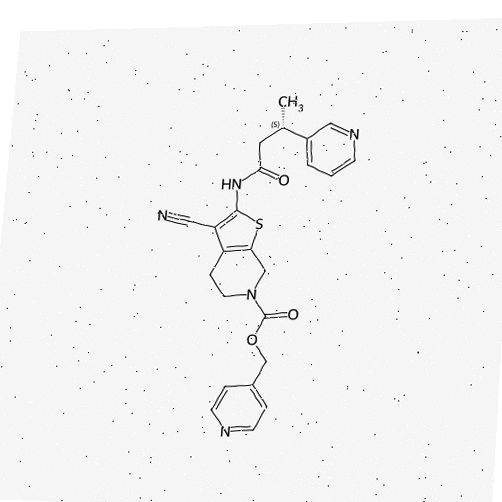 C[C@@H](CC(=O)Nc1sc2c(c1C#N)CCN(C(=O)OCc1ccncc1)C2)c1cccnc1